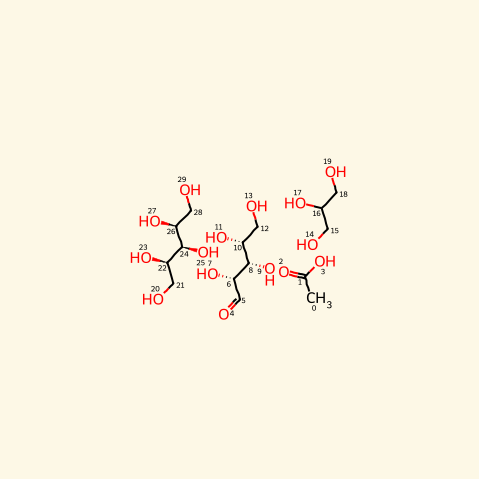 CC(=O)O.O=C[C@H](O)[C@@H](O)[C@H](O)CO.OCC(O)CO.OC[C@@H](O)[C@H](O)[C@@H](O)CO